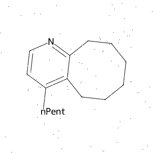 CCCCCc1ccnc2c1CCCCCC2